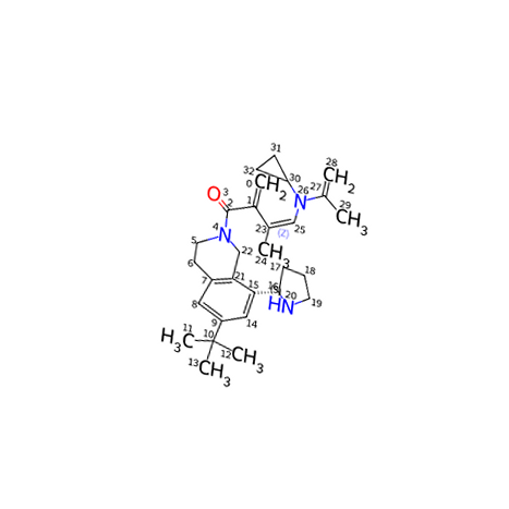 C=C(C(=O)N1CCc2cc(C(C)(C)C)cc([C@@H]3CCCN3)c2C1)/C(C)=C\N(C(=C)C)C1CC1